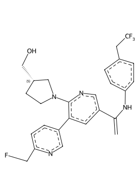 C=C(Nc1ccc(CC(F)(F)F)cc1)c1cnc(N2CC[C@H](CO)C2)c(-c2ccc(CF)nc2)c1